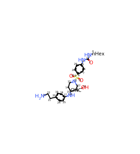 CCCCCCNC(=O)Nc1ccc(S(=O)(=O)N2CCC(Nc3ccc(CCN)cc3)CC2)cc1.O=CO